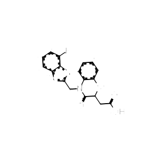 O=C(O)CC1Sc2ccccc2N(Cc2nc3c(F)cccc3s2)C1=O